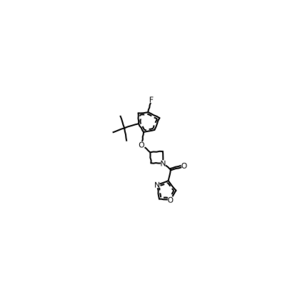 CC(C)(C)c1cc(F)ccc1OC1CN(C(=O)c2cocn2)C1